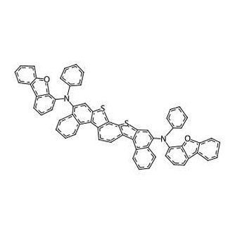 c1ccc(N(c2cc3sc4c(ccc5c4sc4cc(N(c6ccccc6)c6cccc7c6oc6ccccc67)c6ccccc6c45)c3c3ccccc23)c2cccc3c2oc2ccccc23)cc1